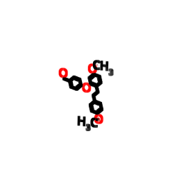 COc1ccc(CCc2ccc(OC)cc2Oc2ccc(C=O)cc2)cc1